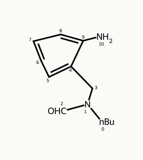 CCCCN(C=O)Cc1ccccc1N